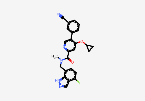 CN(Cc1ccc(F)c2cn[nH]c12)C(=O)c1cc(OC2CC2)c(-c2cccc(C#N)c2)cn1